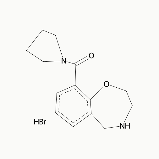 Br.O=C(c1cccc2c1OCCNC2)N1CCCC1